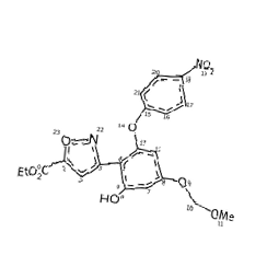 CCOC(=O)c1cc(-c2c(O)cc(OCOC)cc2Oc2ccc([N+](=O)[O-])cc2)no1